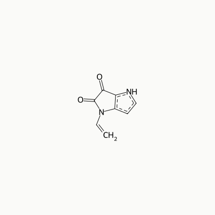 C=CN1C(=O)C(=O)c2[nH]ccc21